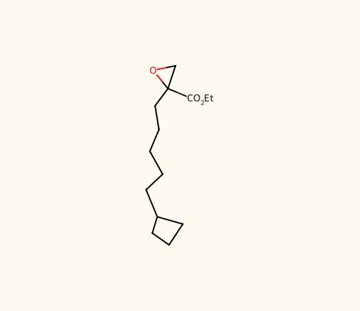 CCOC(=O)C1(CCCCCC2CCC2)CO1